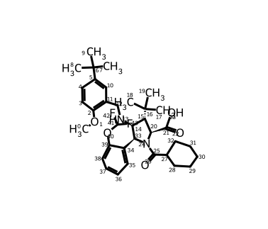 COc1ccc(C(C)(C)C)cc1CN[C@H]1[C@H](C(C)(C)C)[C@@H](C(=O)O)N(C(=O)C2CCCCC2)[C@H]1c1ccccc1OC(F)F